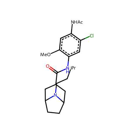 COc1cc(NC(C)=O)c(Cl)cc1NC(=O)C1CC2CCC(C1)N2CCC(C)C